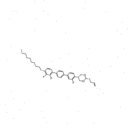 C=CCCC1OCC(c2ccc(-c3ccc(-c4ccc(CCCCCCCCCC)c(F)c4F)cc3)cc2F)CO1